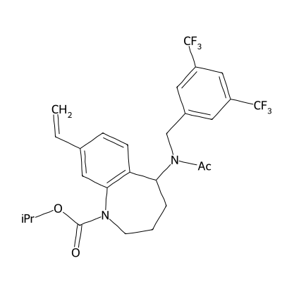 C=Cc1ccc2c(c1)N(C(=O)OC(C)C)CCCC2N(Cc1cc(C(F)(F)F)cc(C(F)(F)F)c1)C(C)=O